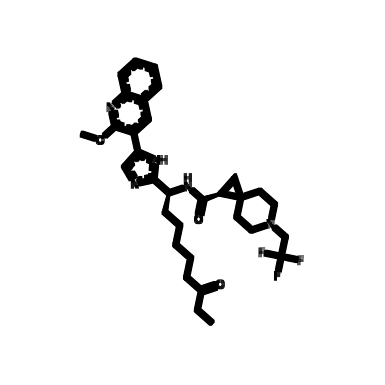 CCC(=O)CCCCC[C@H](NC(=O)[C@H]1CC12CCN(CC(F)(F)F)CC2)c1ncc(-c2cc3ccccc3nc2OC)[nH]1